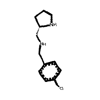 Clc1ccc(CNC[C@@H]2CCCN2)cc1